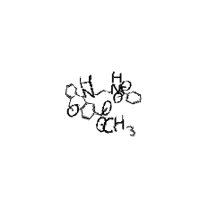 COC(=O)c1ccc2c(c1)C(NCCCNS(=O)(=O)c1ccccc1)c1ccccc1CO2